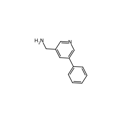 NCc1cncc(-c2ccccc2)c1